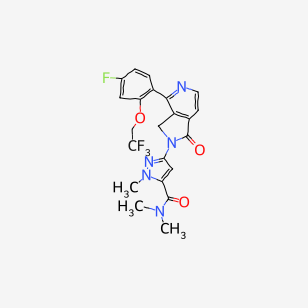 CN(C)C(=O)c1cc(N2Cc3c(ccnc3-c3ccc(F)cc3OCC(F)(F)F)C2=O)nn1C